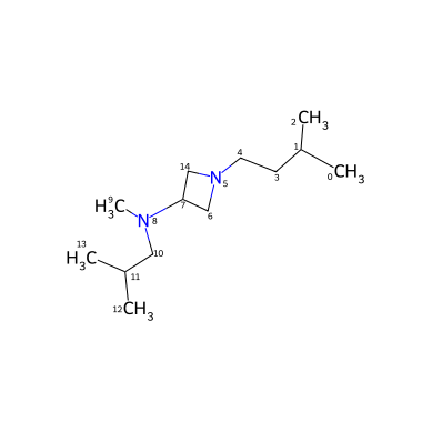 CC(C)CCN1CC(N(C)CC(C)C)C1